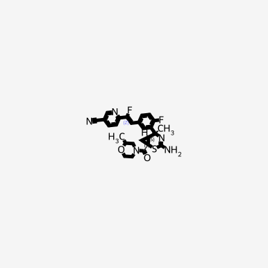 CC1CN(C(=O)[C@]23C[C@H]2[C@@](C)(c2cc(/C=C(\F)c4ccc(C#N)cn4)ccc2F)N=C(N)S3)CCO1